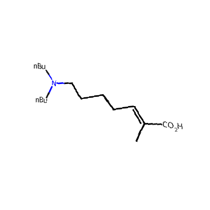 CCCCN(CCCC)CCCCC=C(C)C(=O)O